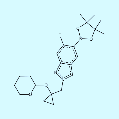 CC1(C)OB(c2cc3cn(CC4(OC5CCCCO5)CC4)nc3cc2F)OC1(C)C